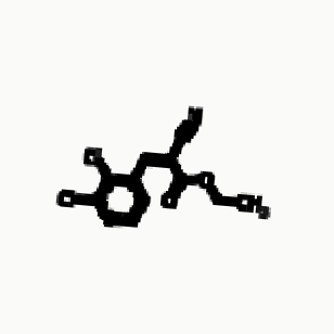 CCOC(=O)C(C#N)=Cc1cccc(Cl)c1Cl